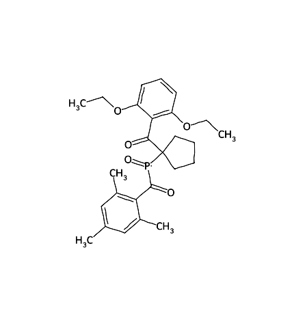 CCOc1cccc(OCC)c1C(=O)C1([P](=O)C(=O)c2c(C)cc(C)cc2C)CCCC1